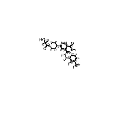 C[C@@H](Nc1nn(C)c(=O)c2nnc(C3CCN(C(=O)C(C)(C)O)CC3)cc12)c1cccc(C(F)F)c1F